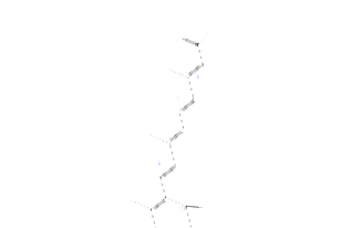 CC1=C(/C=C/C(C)=C/C=C/C(C)=C/C(=O)O)[C@@](C)(O)CCC1